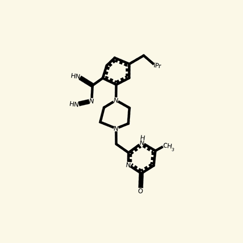 Cc1cc(=O)nc(CN2CCN(c3cc(CC(C)C)ccc3C(=N)N=N)CC2)[nH]1